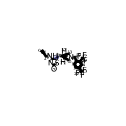 C#CCNC1=NC(=O)S/C1=C\[C@@H]1[C@H]2CN(Cc3ccc(C(F)(F)F)cc3C(F)(F)F)C[C@@H]12